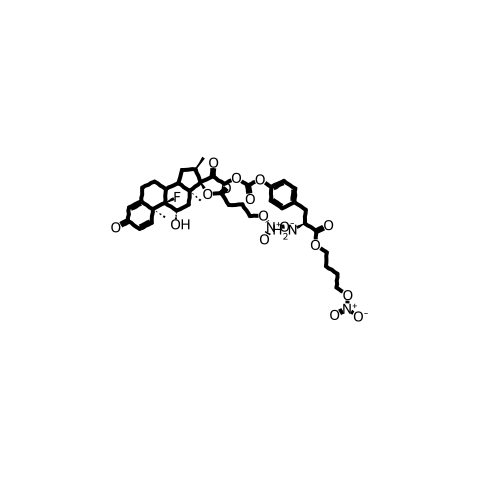 C[C@@H]1CC2C3CCC4=CC(=O)C=C[C@]4(C)[C@@]3(F)[C@@H](O)C[C@]2(C)[C@@]1(OC(=O)CCCO[N+](=O)[O-])C(=O)COC(=O)Oc1ccc(C[C@H](N)C(=O)OCCCCO[N+](=O)[O-])cc1